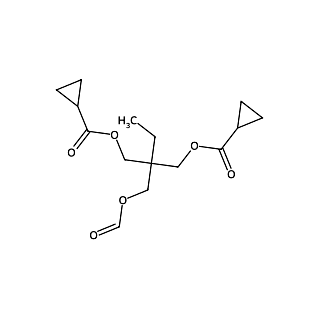 CCC(COC=O)(COC(=O)C1CC1)COC(=O)C1CC1